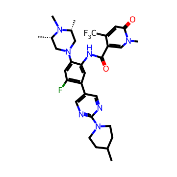 CC1CCN(c2ncc(-c3cc(NC(=O)c4cn(C)c(=O)cc4C(F)(F)F)c(N4C[C@@H](C)N(C)[C@@H](C)C4)cc3F)cn2)CC1